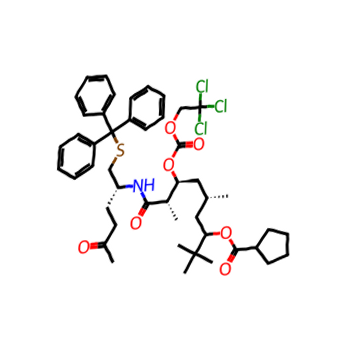 CC(=O)CC[C@H](CSC(c1ccccc1)(c1ccccc1)c1ccccc1)NC(=O)[C@@H](C)[C@H](C[C@H](C)CC(OC(=O)C1CCCC1)C(C)(C)C)OC(=O)OCC(Cl)(Cl)Cl